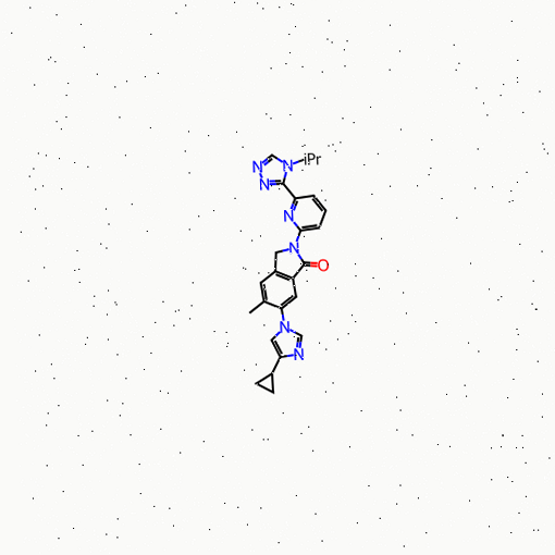 Cc1cc2c(cc1-n1cnc(C3CC3)c1)C(=O)N(c1cccc(-c3nncn3C(C)C)n1)C2